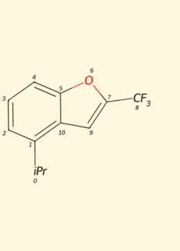 CC(C)c1cccc2oc(C(F)(F)F)cc12